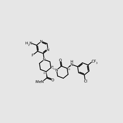 CNC(=O)[C@H]1CCN(c2ncnc(N)c2F)C[C@@H]1N1CCC[C@H](Nc2cc(Cl)cc(C(F)(F)F)c2)C1=O